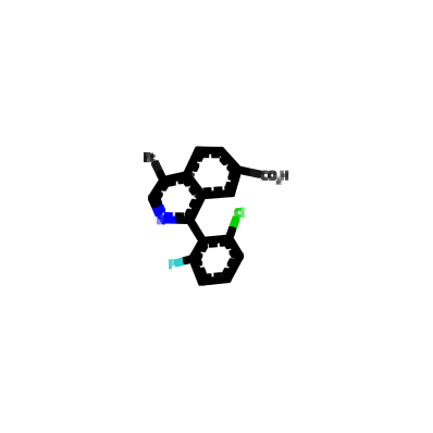 CCc1cnc(-c2c(F)cccc2Cl)c2cc(C(=O)O)ccc12